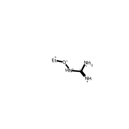 [CH2]CONC(=N)N